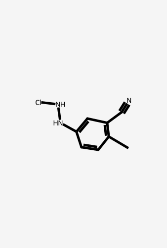 Cc1ccc(NNCl)cc1C#N